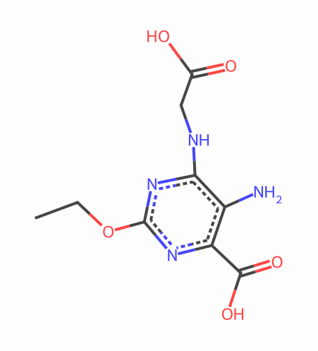 CCOc1nc(NCC(=O)O)c(N)c(C(=O)O)n1